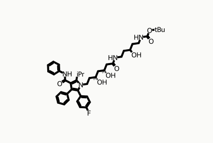 CC(C)c1c(C(=O)Nc2ccccc2)c(-c2ccccc2)c(-c2ccc(F)cc2)n1CC[C@@H](O)C[C@@H](O)CC(=O)NCCC(O)CCNC(=O)OC(C)(C)C